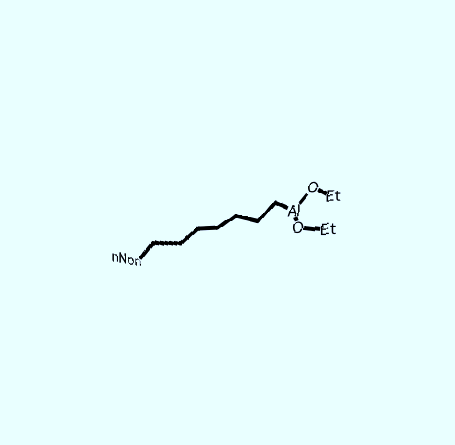 CCCCCCCCCCCCCCC[CH2][Al]([O]CC)[O]CC